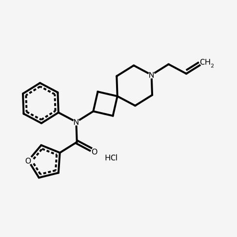 C=CCN1CCC2(CC1)CC(N(C(=O)c1ccoc1)c1ccccc1)C2.Cl